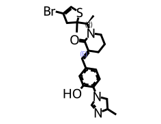 CC1CN(c2ccc(/C=C3\CCCN([C@H](C)C4(C)CC(Br)=CS4)C3=O)cc2O)C=N1